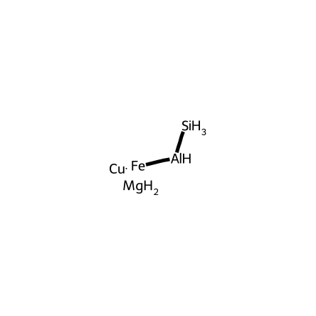 [Cu].[MgH2].[SiH3][AlH][Fe]